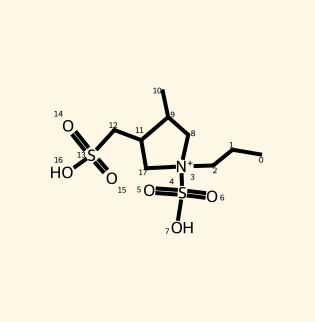 CCC[N+]1(S(=O)(=O)O)CC(C)C(CS(=O)(=O)O)C1